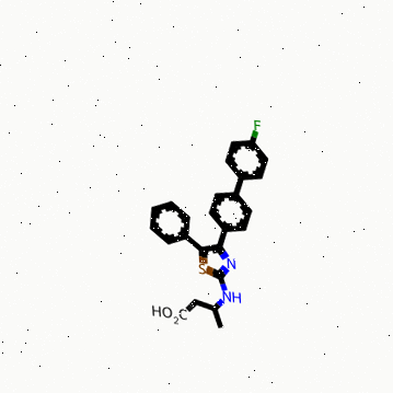 CC(CC(=O)O)Nc1nc(-c2ccc(-c3ccc(F)cc3)cc2)c(-c2ccccc2)s1